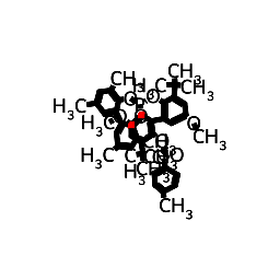 COc1cc(-c2cc(OC)cc(C(C)(C)C)c2OS(=O)(=O)c2ccc(C)cc2)c(Op2oc3c(C)cc(C)cc3c3cc(C)cc(C)c3o2)c(C(C)(C)C)c1